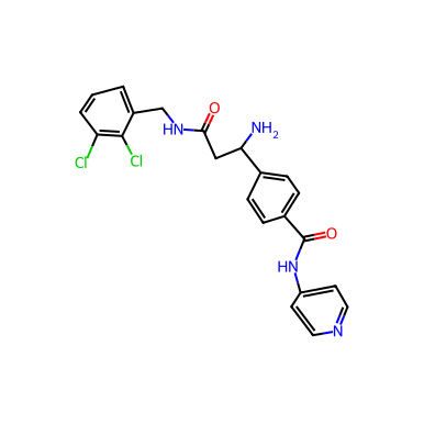 NC(CC(=O)NCc1cccc(Cl)c1Cl)c1ccc(C(=O)Nc2ccncc2)cc1